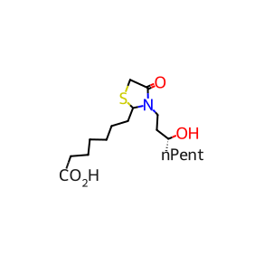 CCCCC[C@@H](O)CCN1C(=O)CSC1CCCCCCC(=O)O